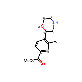 COC(=O)c1ccc([C@@H]2CNCCO2)c(C)c1